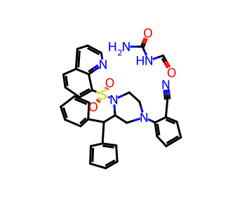 N#Cc1ccccc1N1CCN(S(=O)(=O)c2cccc3cccnc23)C(C(c2ccccc2)c2ccccc2)C1.NC(=O)NC=O